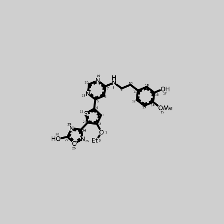 CCOc1cc(-c2cc(NCCc3ccc(OC)c(O)c3)ncn2)sc1-c1noc(O)n1